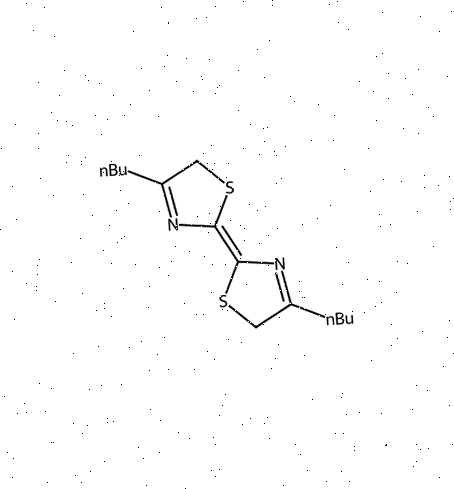 CCCCC1=NC(=C2N=C(CCCC)CS2)SC1